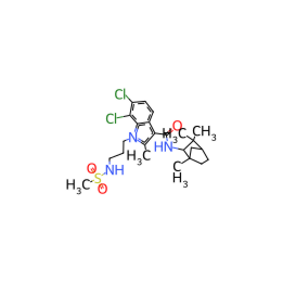 Cc1c(C(=O)NC2C3(C)CCC(C3)C2(C)C)c2ccc(Cl)c(Cl)c2n1CCCNS(C)(=O)=O